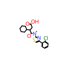 CN(C(=O)C(CC(=O)O)C1CCCCC1)c1nc(-c2ccccc2Cl)cs1